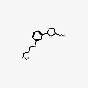 CCCCCCCCCCC1COC(c2cccc(OCCCS(=O)(=O)O)c2)O1